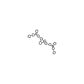 c1ccc(-c2ccc(N(c3ccccc3)c3ccc(-c4ccc5c(c4)oc4c6ccc(-c7ccc(N(c8ccccc8)c8ccc(-c9ccccc9)cc8)cc7)cc6c6ccccc6c54)cc3)cc2)cc1